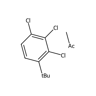 CC(C)(C)c1ccc(Cl)c(Cl)c1Cl.CC(C)=O